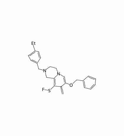 C=C1C(OCc2ccccc2)=CN2CCN(Cc3ccc(CC)cc3)CC2=C1SF